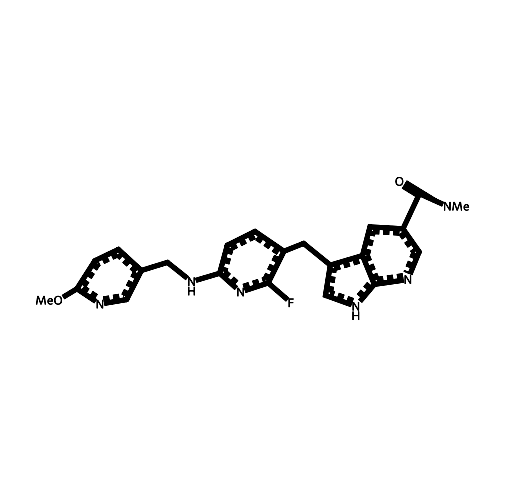 CNC(=O)c1cnc2[nH]cc(Cc3ccc(NCc4ccc(OC)nc4)nc3F)c2c1